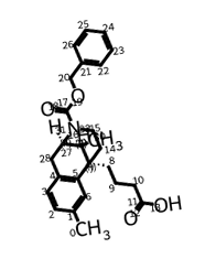 Cc1ccc2c(c1)[C@]1(CCCC(=O)O)CCN(C(=O)OCc3ccccc3)[C@H](C2)[C@@H]1C